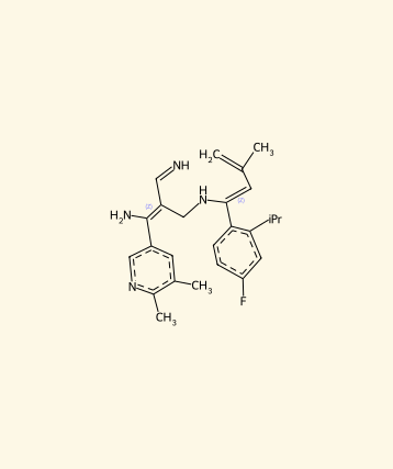 C=C(C)/C=C(\NC/C(C=N)=C(/N)c1cnc(C)c(C)c1)c1ccc(F)cc1C(C)C